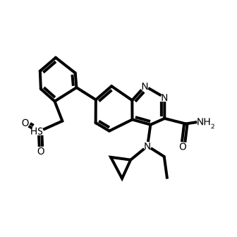 CCN(c1c(C(N)=O)nnc2cc(-c3ccccc3C[SH](=O)=O)ccc12)C1CC1